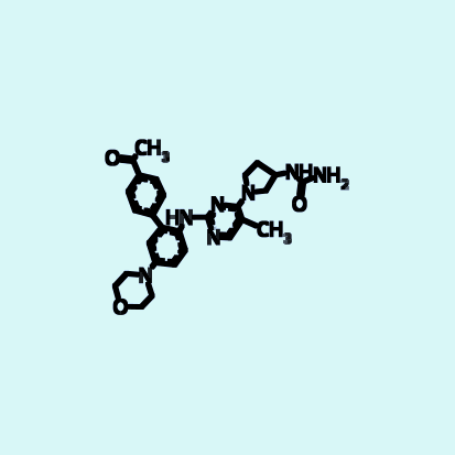 CC(=O)c1ccc(-c2cc(N3CCOCC3)ccc2Nc2ncc(C)c(N3CCC(NC(N)=O)C3)n2)cc1